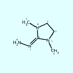 CN1CCN(C)C1=NN